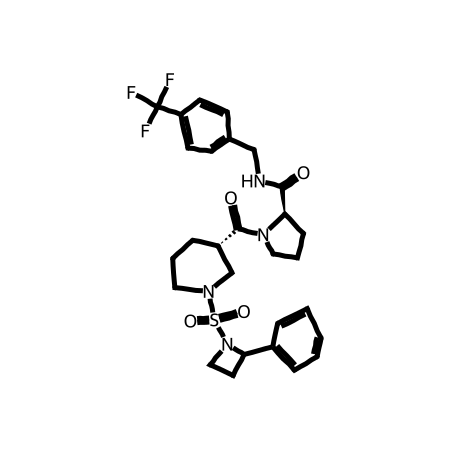 O=C(NCc1ccc(C(F)(F)F)cc1)[C@H]1CCCN1C(=O)[C@H]1CCCN(S(=O)(=O)N2CCC2c2ccccc2)C1